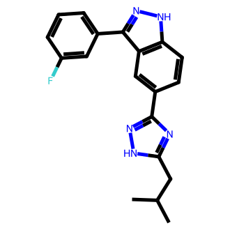 CC(C)Cc1nc(-c2ccc3[nH]nc(-c4cccc(F)c4)c3c2)n[nH]1